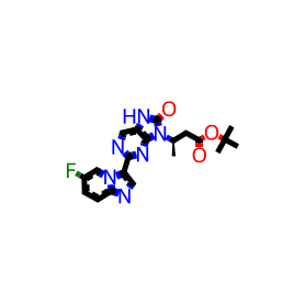 C[C@H](CC(=O)OC(C)(C)C)n1c(=O)[nH]c2cnc(-c3cnc4ccc(F)cn34)nc21